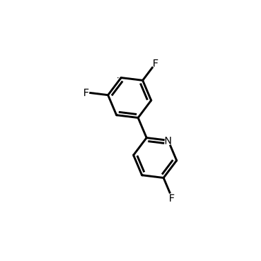 Fc1[c]c(F)cc(-c2ccc(F)cn2)c1